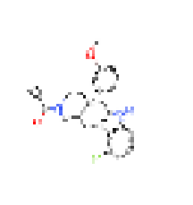 COc1cccc(C23CCN(C(=O)C4CC4)CC2Cc2c([nH]c4cccc(F)c24)C3)c1